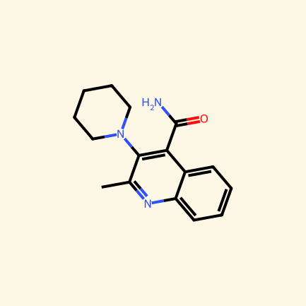 Cc1nc2ccccc2c(C(N)=O)c1N1CCCCC1